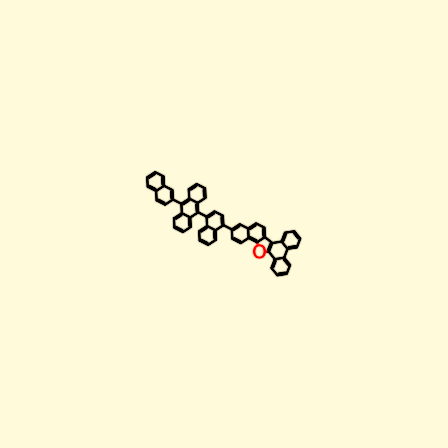 c1ccc2cc(-c3c4ccccc4c(-c4ccc(-c5ccc6c(ccc7c6oc6c8ccccc8c8ccccc8c76)c5)c5ccccc45)c4ccccc34)ccc2c1